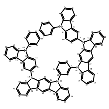 c1ccc(-n2c3ccccc3c3cc(-n4c5ccccc5c5cc6c7ccccc7n(-c7cccc(-n8c9ccccc9c9cc%10c%11ccccc%11n(-c%11ccc%12c(c%11)c%11ccccc%11n%12-c%11ccccc%11)c%10cc98)c7)c6cc54)ccc32)cc1